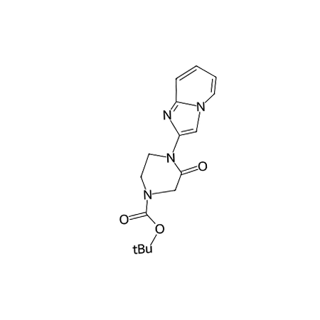 CC(C)(C)OC(=O)N1CCN(c2cn3ccccc3n2)C(=O)C1